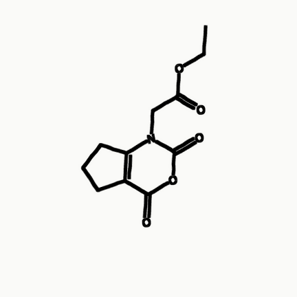 CCOC(=O)Cn1c2c(c(=O)oc1=O)CCC2